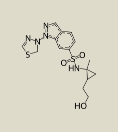 CC1(NS(=O)(=O)c2ccc3cnn(N4CSC=N4)c3c2)CC1CCO